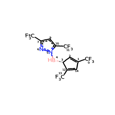 FC(F)(F)C1=C[C@@H](Bn2nc(C(F)(F)F)cc2C(F)(F)F)C(C(F)(F)F)=C1